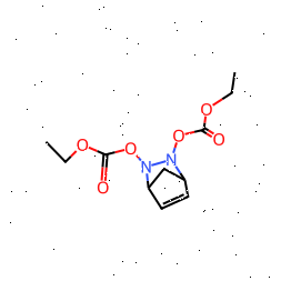 CCOC(=O)ON1C2C=CC(C2)N1OC(=O)OCC